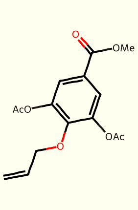 C=CCOc1c(OC(C)=O)cc(C(=O)OC)cc1OC(C)=O